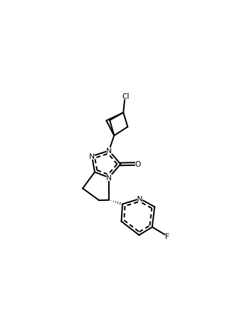 O=c1n(C23CC(Cl)(C2)C3)nc2n1[C@H](c1ccc(F)cn1)CC2